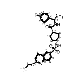 CCOc1ccc2cc(S(=O)(=O)N[C@H]3CC[C@H](C(=O)N[C@H](C)c4ccc(F)cc4)CC3)ccc2n1